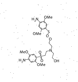 COc1cc(SOOCCN(CCO)CCS(=O)(=O)c2cc(OC)c(N)cc2OC)c(OC)cc1N